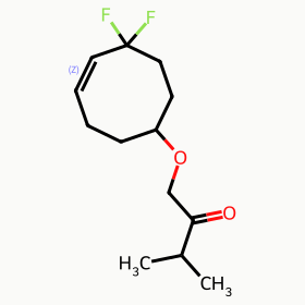 CC(C)C(=O)COC1CC/C=C\C(F)(F)CC1